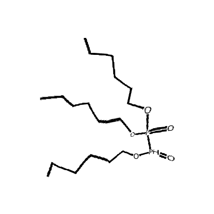 CCCCCCO[PH](=O)P(=O)(OCCCCCC)OCCCCCC